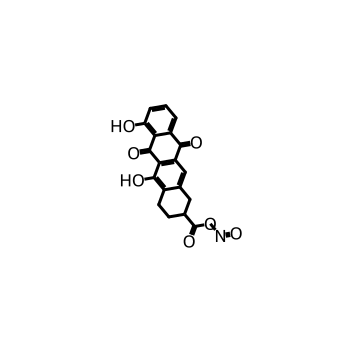 O=NOC(=O)C1CCc2c(cc3c(c2O)C(=O)c2c(O)cccc2C3=O)C1